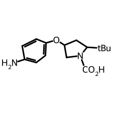 CC(C)(C)C1CC(Oc2ccc(N)cc2)CN1C(=O)O